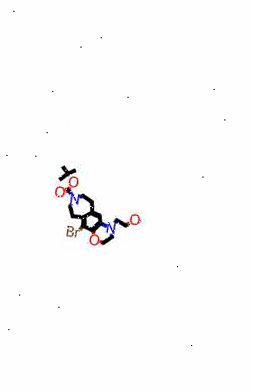 COCCN1CCOc2c1cc1c(c2Br)CCN(C(=O)OC(C)(C)C)CC1